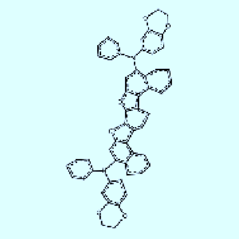 c1ccc(N(c2ccc3c(c2)OCCO3)c2cc3oc4c(ccc5c4oc4cc(N(c6ccccc6)c6ccc7c(c6)OCCO7)c6ccccc6c45)c3c3ccccc23)cc1